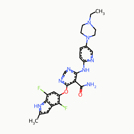 CCN1CCN(c2ccc(Nc3ncnc(Oc4cc(F)c5[nH]c(C)cc5c4F)c3C(N)=O)nc2)CC1